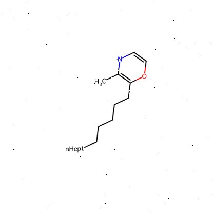 CCCCCCCCCCCCC1=C(C)[N]C=CO1